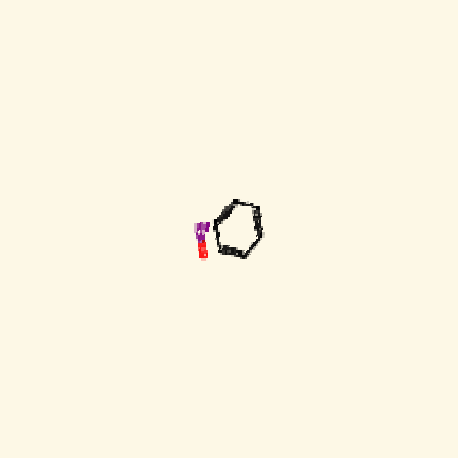 O=P.c1ccccc1